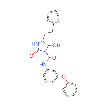 O=C(Nc1cccc(Oc2ccccc2)c1)C1C(=O)NC(CCc2ccccc2)C1O